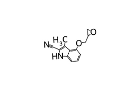 Cc1c(C#N)[nH]c2cccc(OCC3CO3)c12